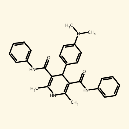 CC1=C(C(=O)Nc2ccccc2)C(c2ccc(N(C)C)cc2)C(C(=O)Nc2ccccc2)=C(C)N1